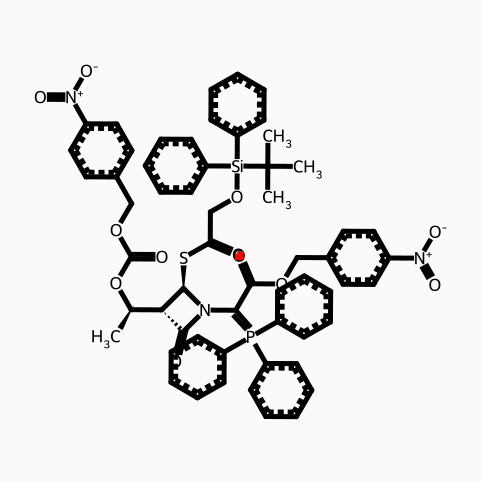 C[C@@H](OC(=O)OCc1ccc([N+](=O)[O-])cc1)[C@H]1C(=O)N(C(C(=O)OCc2ccc([N+](=O)[O-])cc2)=P(c2ccccc2)(c2ccccc2)c2ccccc2)[C@@H]1SC(=O)CO[Si](c1ccccc1)(c1ccccc1)C(C)(C)C